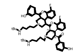 Cc1c(F)cccc1C1C(C(=O)c2cccc(O)c2)CN(CCCCNC(C)(C)C)CC1C(=O)[C@@H]1CN(CCCCNC(C)(C)C)C[C@H](C(=O)c2cccc(O)c2)[C@@H]1c1cccc(F)c1C